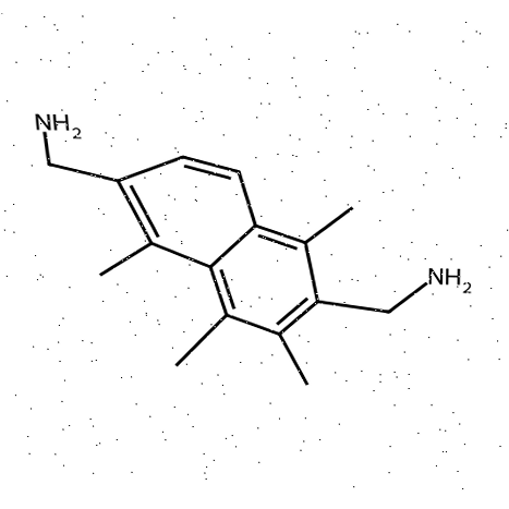 Cc1c(CN)c(C)c2ccc(CN)c(C)c2c1C